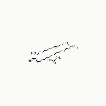 CC(=O)O.CCC/C=C/CCCCCCCO.CCCCCCCCCCCCCC/C=C\C=C/O